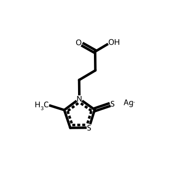 Cc1csc(=S)n1CCC(=O)O.[Ag]